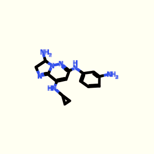 Nc1cccc(NC2=NN3C(=NCC3N)C(NC3CC3)=C2)c1